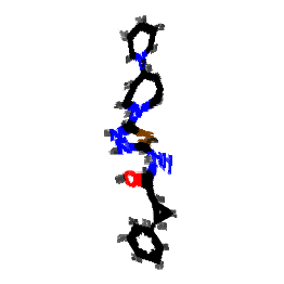 O=C(Nc1nnc(N2CCC(N3CCCCC3)CC2)s1)C1C[C@@H]1c1ccccc1